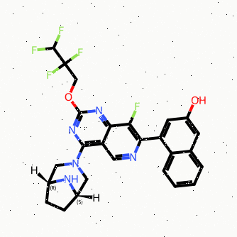 Oc1cc(-c2ncc3c(N4C[C@H]5CC[C@@H](C4)N5)nc(OCC(F)(F)C(F)F)nc3c2F)c2ccccc2c1